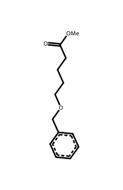 COC(=O)CCCCOCc1ccccc1